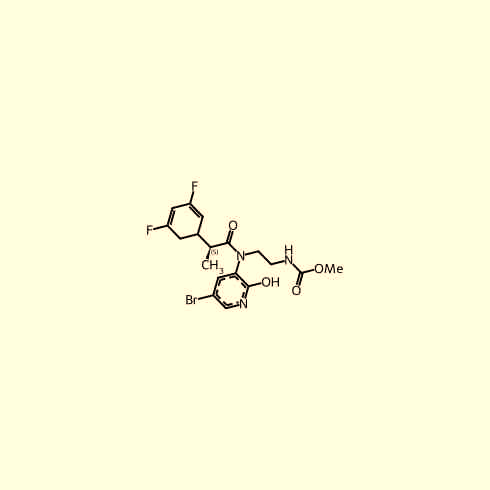 COC(=O)NCCN(C(=O)[C@@H](C)C1C=C(F)C=C(F)C1)c1cc(Br)cnc1O